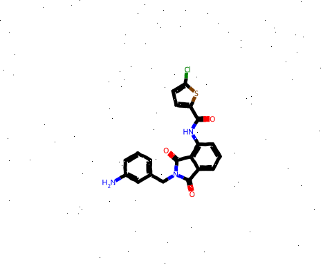 Nc1cccc(CN2C(=O)c3cccc(NC(=O)c4ccc(Cl)s4)c3C2=O)c1